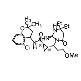 CCC1(CC)CC(=O)N(C(CCOC)[C@@H]2C[C@H]2C(=O)NC2CC(C)(C)Oc3cccc(Cl)c32)C(=N)N1